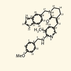 COc1ccc(CNc2ncc(C=C3CCCN(Cc4ccc5scnc5c4)C3=O)cc2C)cc1